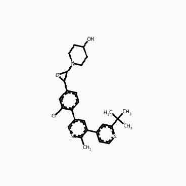 Cc1ncc(-c2ccc(C3OC3N3CCC(O)CC3)cc2Cl)cc1-c1ccnc(C(C)(C)C)c1